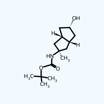 CC(C)(C)OC(=O)N[C@]1(C)C[C@H]2C[C@@H](O)C[C@H]2C1